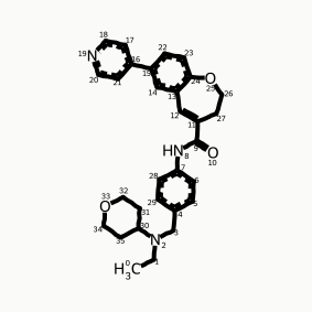 CCN(Cc1ccc(NC(=O)C2=Cc3cc(-c4ccncc4)ccc3OCC2)cc1)C1CCOCC1